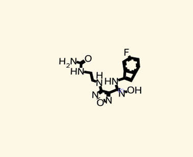 NC(=O)NCCNc1nonc1/C(=N/O)NC1=Cc2ccc(F)cc21